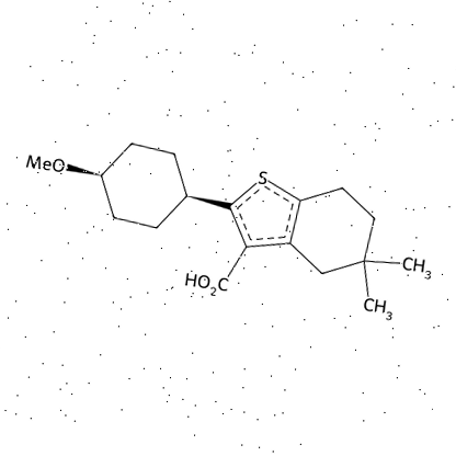 CO[C@H]1CC[C@@H](c2sc3c(c2C(=O)O)CC(C)(C)CC3)CC1